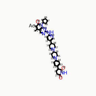 CC(=O)c1c(C)c2cnc(Nc3ccc(C4CCN(C5CCN(c6ccc(C7CCC(=O)NC7=O)cc6)CC5)CC4)cn3)nc2n(C2CCCC2)c1=O